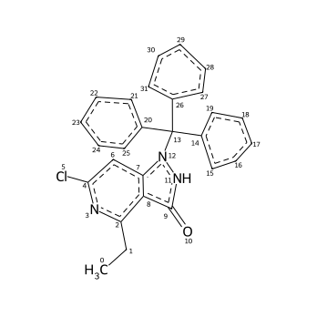 CCc1nc(Cl)cc2c1c(=O)[nH]n2C(c1ccccc1)(c1ccccc1)c1ccccc1